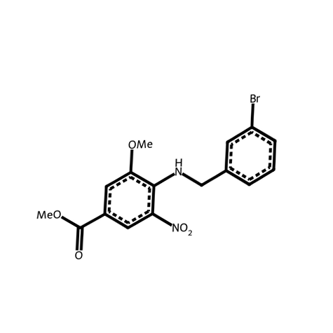 COC(=O)c1cc(OC)c(NCc2cccc(Br)c2)c([N+](=O)[O-])c1